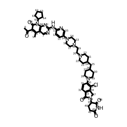 CC(=O)c1c(C)c2cnc(Nc3ccc(N4CCN(CCN5CCC(CC6CCN(c7ccc8c(c7Cl)CN(C7CCC(=O)NC7=O)C8=O)CC6)CC5)CC4)cn3)nc2n(C2CCCC2)c1=O